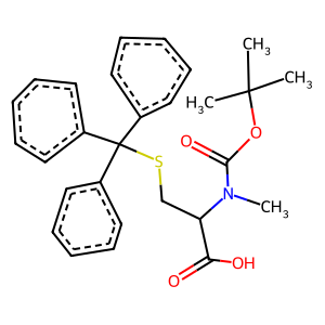 CN(C(=O)OC(C)(C)C)C(CSC(c1ccccc1)(c1ccccc1)c1ccccc1)C(=O)O